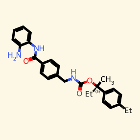 CCc1ccc([C@](C)(CC)OC(=O)NCc2ccc(C(=O)Nc3ccccc3N)cc2)cc1